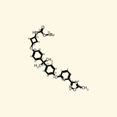 Cc1nc(-c2cccc(Oc3ccc(C(C)(C)c4ccc(OC5CC(NC(=O)OC(C)(C)C)C5)cc4)cc3)n2)no1